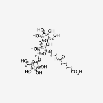 O=C(O)CCCCC(=O)NCCO[C@@H]1O[C@H](CO[C@H]2O[C@H](CO)[C@@H](O)[C@H](O)[C@@H]2O)[C@@H](O)[C@H](O[C@H]2O[C@H](CO)[C@@H](O)[C@H](O)[C@@H]2O)[C@@H]1O